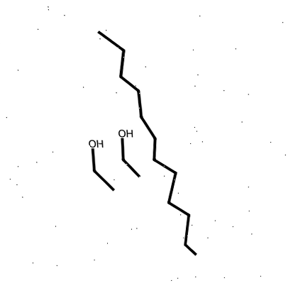 CCCCCCCCCCCC.CCO.CCO